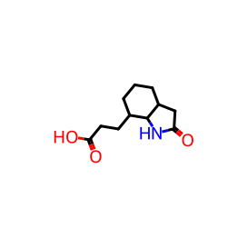 O=C(O)CCC1CCCC2CC(=O)NC12